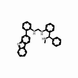 CNC(c1ccccc1)c1ccccc1NCNc1ccccc1-c1ccc2c(c1)oc1ccccc12